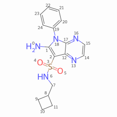 Nc1c(S(=O)(=O)NCC2CCC2)c2nccnc2n1-c1ccccc1